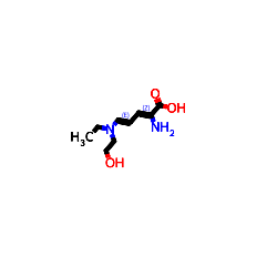 CCN(/C=C/C=C(\N)C(=O)O)CCO